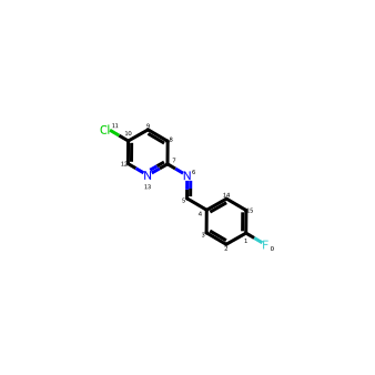 Fc1ccc(C=Nc2ccc(Cl)cn2)cc1